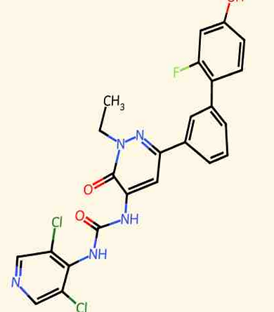 CCn1nc(-c2cccc(-c3ccc(O)cc3F)c2)cc(NC(=O)Nc2c(Cl)cncc2Cl)c1=O